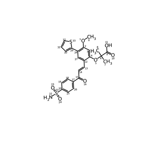 COc1cc(OC(C)(C)C(=O)O)c(C=CC(=O)c2ccc(S(N)(=O)=O)cc2)cc1-c1cccs1